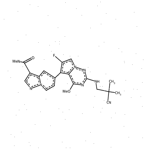 CNC(=O)c1cnn2ccc(-c3c(F)cn4nc(NCC(C)(C)C#N)nc(OC)c34)cc12